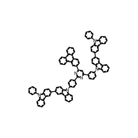 c1ccc(-n2c3ccccc3c3cc(-c4ccc5c(c4)c4ccccc4n5-c4ccc(-c5nc(-c6cccc(-n7c8ccccc8c8cc(-c9ccc%10c(c9)c9ccccc9n%10-c9ccccc9)ccc87)c6)cc(-c6ccc7c8ccccc8c8ccccc8c7c6)n5)cc4)ccc32)cc1